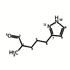 CC(C=O)CCCc1cc[nH]n1